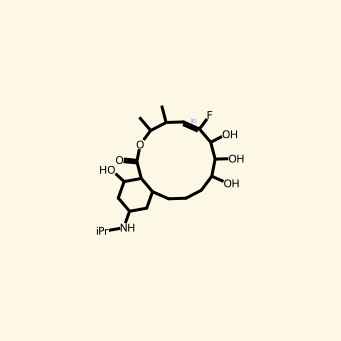 CC(C)NC1CC(O)C2C(=O)OC(C)C(C)/C=C(/F)C(O)C(O)C(O)CCCC2C1